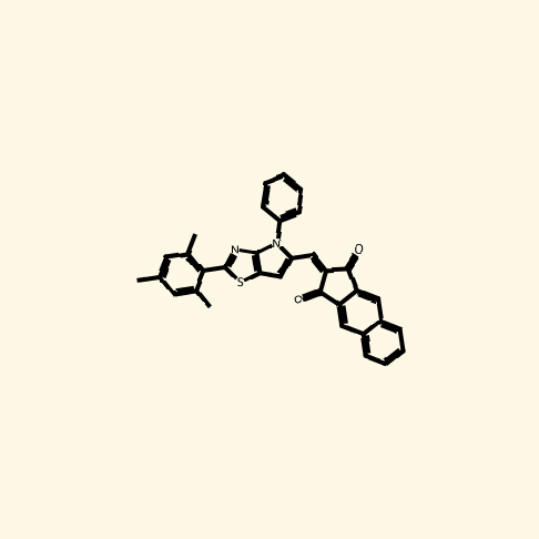 Cc1cc(C)c(-c2nc3c(cc(C=C4C(=O)c5cc6ccccc6cc5C4=O)n3-c3ccccc3)s2)c(C)c1